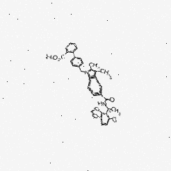 Cc1c(C)n(Cc2ccc(-c3ccccc3C(=O)O)cc2)c2ccc(C(=O)N[C@@H](C)c3c(Cl)ccc4c3OCO4)cc12